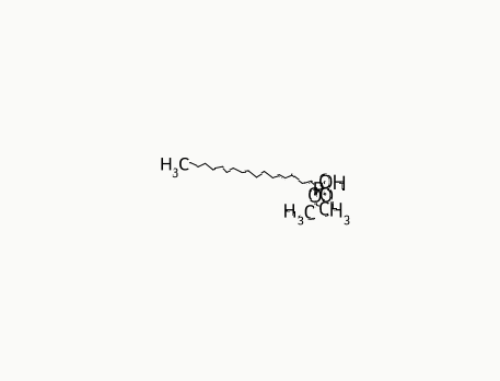 CCCCCCCCCCCCCCCCCCP(=O)(O)OC(C)C